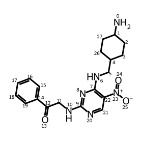 NC1CCC(CNc2nc(NCC(=O)c3ccccc3)ncc2[N+](=O)[O-])CC1